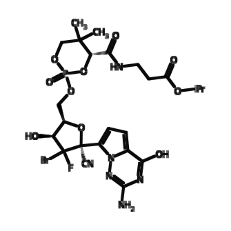 CC(C)OC(=O)CCNC(=O)[C@@H]1OP(=O)(OC[C@H]2O[C@@](C#N)(c3ccc4c(O)nc(N)nn34)C(F)(Br)[C@H]2O)OCC1(C)C